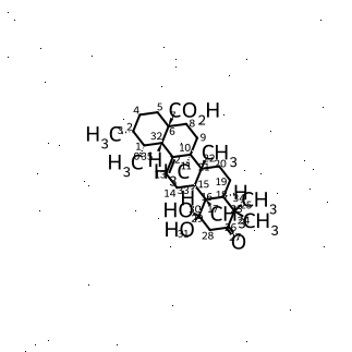 C[C@@H]1[C@H](C)CC[C@]2(C(=O)O)CC[C@]3(C)C(=CC[C@@H]4[C@]5(C)[C@@H](CC[C@]43C)C(C)(C)C(=O)CC5(O)O)[C@H]12